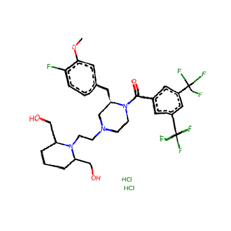 COc1cc(C[C@@H]2CN(CCN3C(CO)CCCC3CO)CCN2C(=O)c2cc(C(F)(F)F)cc(C(F)(F)F)c2)ccc1F.Cl.Cl